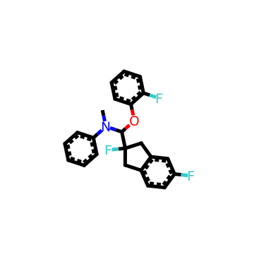 CN(c1ccccc1)C(Oc1ccccc1F)C1(F)Cc2ccc(F)cc2C1